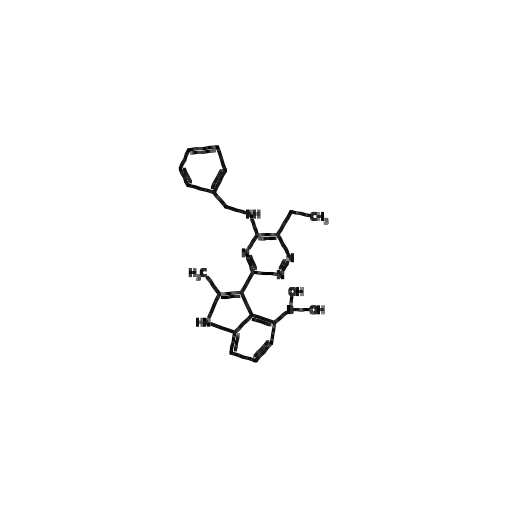 CCc1nnc(-c2c(C)[nH]c3cccc(B(O)O)c23)nc1NCc1ccccc1